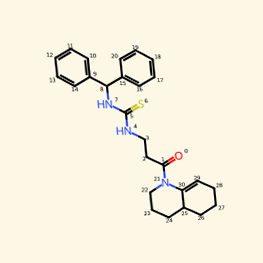 O=C(CCNC(=S)NC(c1ccccc1)c1ccccc1)N1CCCC2CCCC=C21